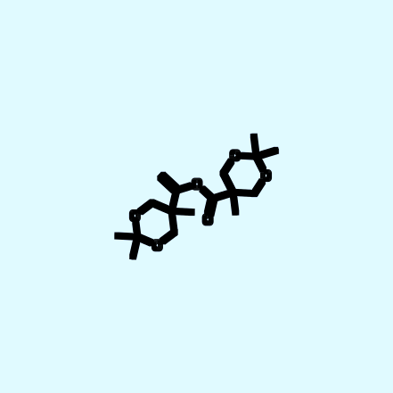 C=C(OC(=O)C1(C)COC(C)(C)OC1)C1(C)COC(C)(C)OC1